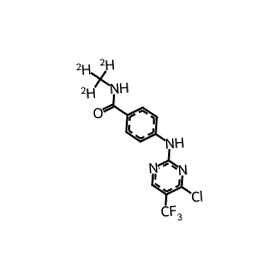 [2H]C([2H])([2H])NC(=O)c1ccc(Nc2ncc(C(F)(F)F)c(Cl)n2)cc1